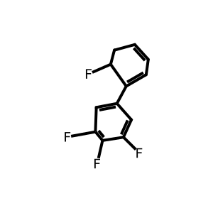 Fc1cc(C2=CC=CCC2F)cc(F)c1F